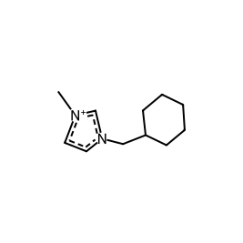 C[n+]1ccn(CC2CCCCC2)c1